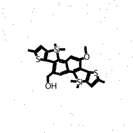 COc1cc2c3c(c(CO)cc2c2c1-c1sc(C)cc1[Si]2(C)C)-c1sc(C)cc1[Si]3(C)C